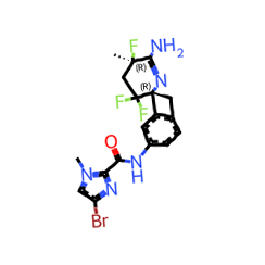 Cn1cc(Br)nc1C(=O)Nc1ccc2c(c1)[C@@]1(C2)N=C(N)[C@](C)(F)CC1(F)F